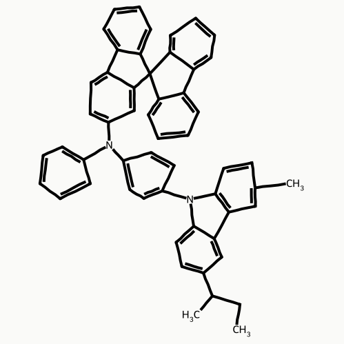 CCC(C)c1ccc2c(c1)c1cc(C)ccc1n2-c1ccc(N(c2ccccc2)c2ccc3c(c2)C2(c4ccccc4-c4ccccc42)c2ccccc2-3)cc1